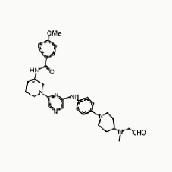 COc1ccc(C(=O)N[C@@H]2CCCN(c3cncc(Nc4ccc(N5CCC(N(C)CC=O)CC5)cc4)n3)C2)cc1